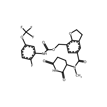 CN(C(=O)c1cc2c(c(COC(=O)Nc3cc(OC(F)(F)F)ccc3F)c1)OCC2)C1CCC(=O)NC1=O